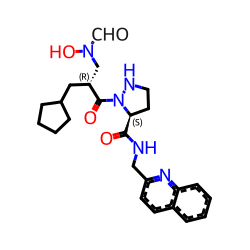 O=CN(O)C[C@@H](CC1CCCC1)C(=O)N1NCC[C@H]1C(=O)NCc1ccc2ccccc2n1